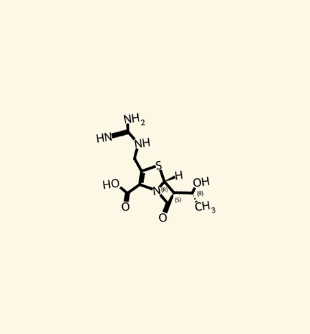 C[C@@H](O)[C@H]1C(=O)N2C(C(=O)O)=C(CNC(=N)N)S[C@H]12